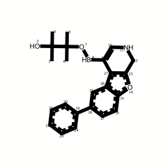 CC(C)(O)C(C)(C)OBC1=CNCc2oc3ccc(-c4ccccc4)cc3c21